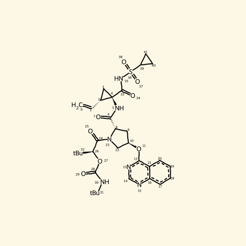 C=C[C@@H]1C[C@]1(NC(=O)[C@@H]1C[C@@H](Oc2ncnc3ccccc23)CN1C(=O)[C@@H](OC(=O)NC(C)(C)C)C(C)(C)C)C(=O)NS(=O)(=O)C1CC1